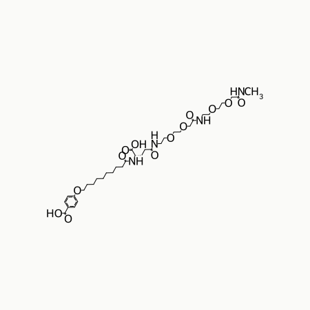 CNC(=O)COCCOCCNC(=O)COCCOCCNC(=O)CC[C@H](NC(=O)CCCCCCCCCOc1ccc(C(=O)O)cc1)C(=O)O